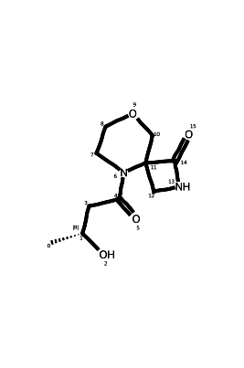 C[C@@H](O)CC(=O)N1CCOCC12CNC2=O